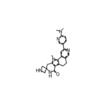 CN(C)c1ccc(-c2cc3c(cn2)CCc2c4c(n(C)c2-3)CC2(CNC2)NC4=O)cn1